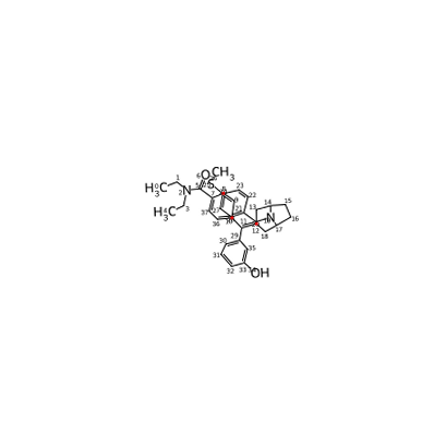 CCN(CC)C(=O)c1ccc(C(=C2CC3CCC(C2)N3Cc2ccc(SC)cc2)c2cccc(O)c2)cc1